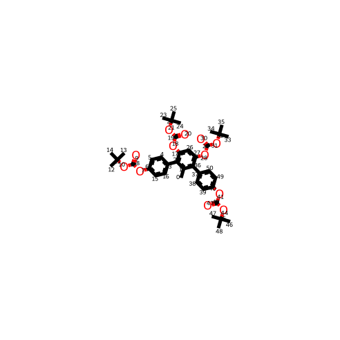 Cc1c(-c2ccc(OC(=O)OC(C)(C)C)cc2)c(OC(=O)OC(C)(C)C)cc(OC(=O)OC(C)(C)C)c1-c1ccc(OC(=O)OC(C)(C)C)cc1